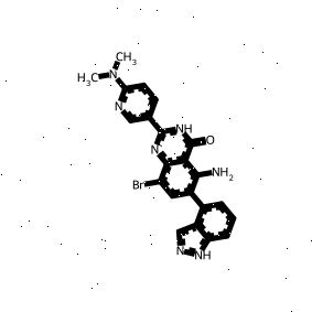 CN(C)c1ccc(-c2nc3c(Br)cc(-c4cccc5[nH]ncc45)c(N)c3c(=O)[nH]2)cn1